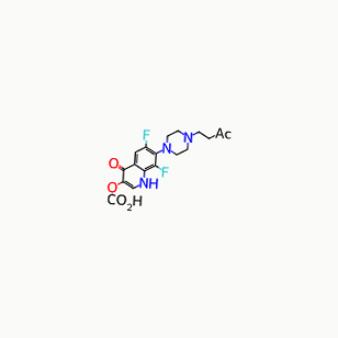 CC(=O)CCN1CCN(c2c(F)cc3c(=O)c(OC(=O)O)c[nH]c3c2F)CC1